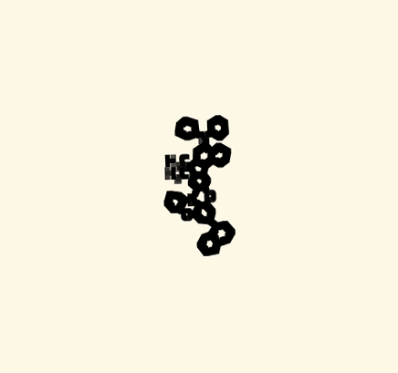 CC1(C)c2cc3c(cc2-c2c1cc(N(c1ccccc1)c1ccccc1)c1ccccc21)Oc1cc(-c2cccc4ccccc24)cc2c1B3c1ccccc1O2